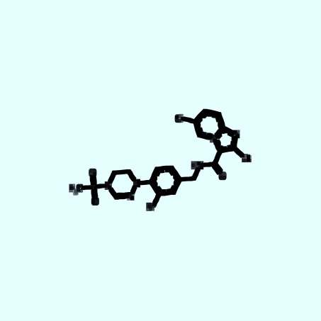 CCc1nc2ccc(Cl)cn2c1C(=O)NCc1ccc(N2CCN(S(=O)(=O)C(F)(F)F)C=N2)c(Br)c1